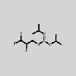 CC(C)O[SiH](OCC(F)C(F)F)OC(C)C